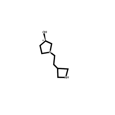 O[C@@H]1CCN(CCC2CNC2)C1